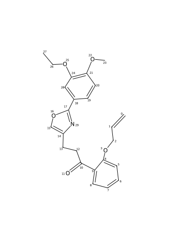 C=CCOc1ccccc1C(=O)CCc1coc(-c2ccc(OC)c(OCC)c2)n1